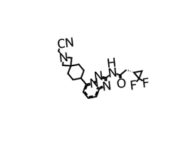 N#CCN1CC2(CCC(c3cccc4nc(NC(=O)C[C@@H]5CC5(F)F)nn34)CC2)C1